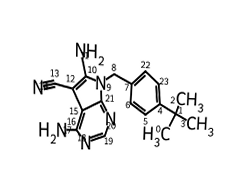 CC(C)(C)c1ccc(Cn2c(N)c(C#N)c3c(N)ncnc32)cc1